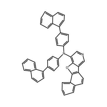 c1ccc2c(-c3ccc(N(c4ccc(-c5cccc6ccccc56)cc4)c4cncc5c4oc4c6ccccc6ccc54)cc3)cccc2c1